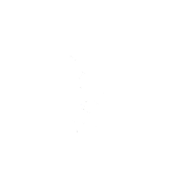 CCOC(=O)c1csc([C@H]2C/C(=N/[S+]([O-])C(C)(C)C)c3ccccc3O2)n1